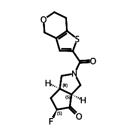 O=C1[C@@H](F)C[C@H]2CN(C(=O)c3cc4c(s3)CCOC4)C[C@@H]12